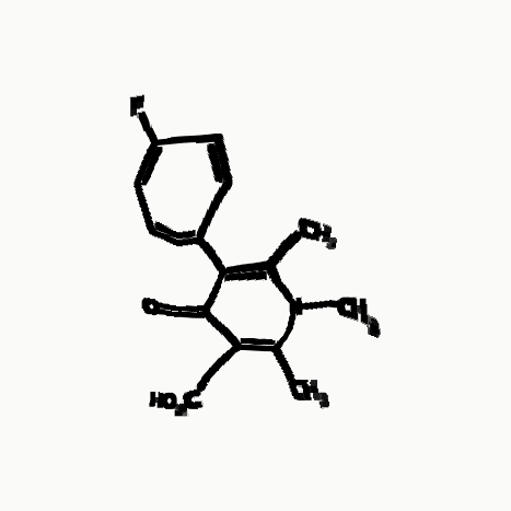 Cc1c(C(=O)O)c(=O)c(-c2ccc(F)cc2)c(C)n1C